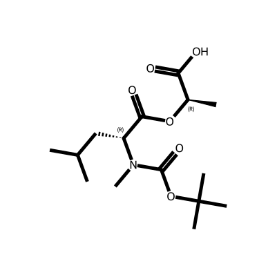 CC(C)C[C@H](C(=O)O[C@H](C)C(=O)O)N(C)C(=O)OC(C)(C)C